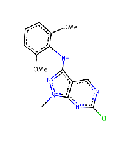 COc1cccc(OC)c1Nc1nn(C)c2nc(Cl)ncc12